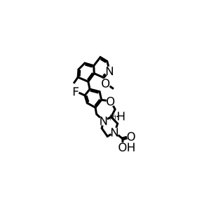 COc1nccc2ccc(C)c(-c3cc4c(cc3F)CN3CCN(C(=O)O)C[C@@H]3CO4)c12